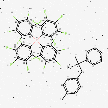 Cc1ccc(C[C](C)([Po])c2ccccc2)cc1.Fc1c(F)c(F)c([B-](c2c(F)c(F)c(F)c(F)c2F)(c2c(F)c(F)c(F)c(F)c2F)c2c(F)c(F)c(F)c(F)c2F)c(F)c1F